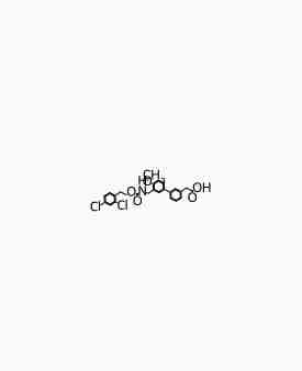 COc1ccc(-c2cccc(CC(=O)O)c2)cc1CNC(=O)OCCc1ccc(Cl)cc1Cl